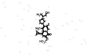 Cc1c(N2CC[C@@H](C(N)CO)C2)c(F)cn2c(=O)c(OC(=O)O)cc(C3CC3)c12